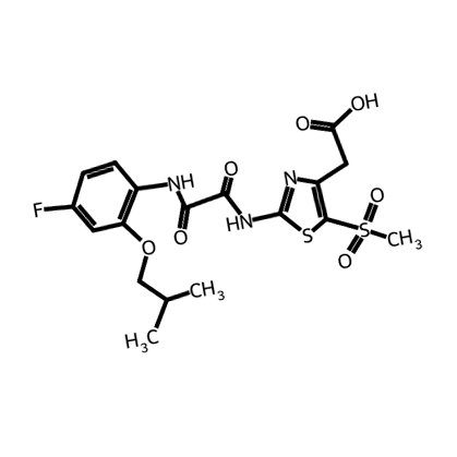 CC(C)COc1cc(F)ccc1NC(=O)C(=O)Nc1nc(CC(=O)O)c(S(C)(=O)=O)s1